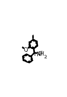 COc1cc(C)ccc1C(N)c1ccccc1.Cl